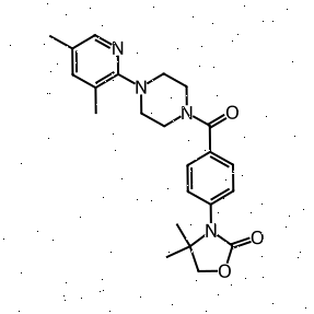 Cc1cnc(N2CCN(C(=O)c3ccc(N4C(=O)OCC4(C)C)cc3)CC2)c(C)c1